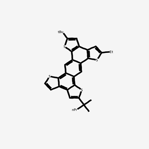 CCCC(C)(C)c1cc2c3ccsc3c3cc4c(cc3c2s1)c1sc(CC)cc1c1cc(C(C)(C)C)sc14